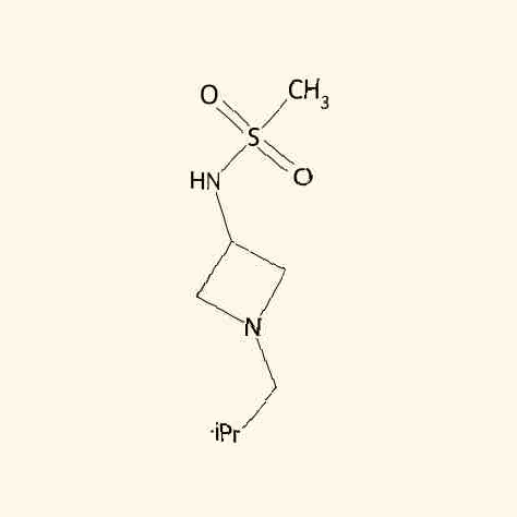 C[C](C)CN1CC(NS(C)(=O)=O)C1